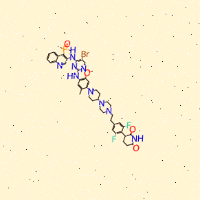 COc1cc(N2CCC(N3CCN(CCc4cc(F)c(C5CCC(=O)NC5=O)c(F)c4)CC3)CC2)c(C)cc1Nc1ncc(Br)c(Nc2cnc3ccccc3c2P(C)(C)=O)n1